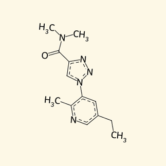 CCc1cnc(C)c(-n2cc(C(=O)N(C)C)nn2)c1